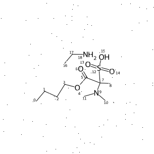 CCCCOC(=O)C(C)(N(C)C)S(=O)(=O)O.CCN